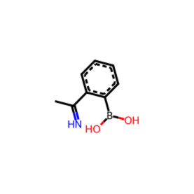 CC(=N)c1ccccc1B(O)O